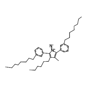 CCCCCCCCc1cccc(C2=C(C)C(CCCCCC)=C(c3cccc(CCCCCCCC)c3)[N+]2=[N-])c1